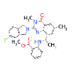 COC(=O)c1ccccc1NC(C)c1cc(C)cc2c(=O)n(C)c(N3Cc4ccc(F)cc4C3)nc12